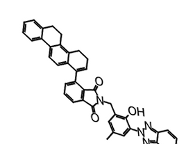 Cc1cc(CN2C(=O)c3cccc(C4=CCCc5c4ccc4c5CCc5ccccc5-4)c3C2=O)c(O)c(-n2nc3ccccc3n2)c1